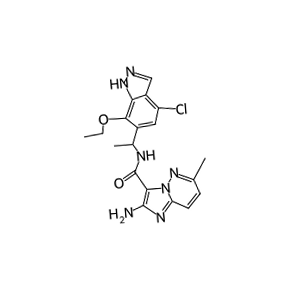 CCOc1c(C(C)NC(=O)c2c(N)nc3ccc(C)nn23)cc(Cl)c2cn[nH]c12